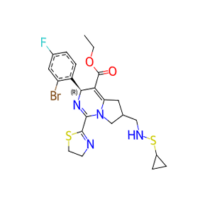 CCOC(=O)C1=C2CC(CNSC3CC3)CN2C(C2=NCCS2)=N[C@H]1c1ccc(F)cc1Br